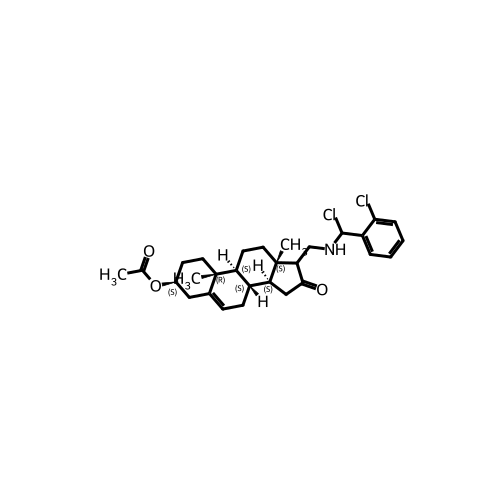 CC(=O)O[C@H]1CC[C@@]2(C)C(=CC[C@@H]3[C@@H]2CC[C@]2(C)C(CNC(Cl)c4ccccc4Cl)C(=O)C[C@@H]32)C1